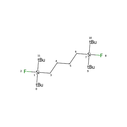 CC(C)(C)[Si](F)(CCCC[Si](F)(C(C)(C)C)C(C)(C)C)C(C)(C)C